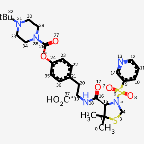 CC1(C)SCN(S(=O)(=O)c2cccnc2)[C@@H]1C(=O)N[C@@H](Cc1ccc(OC(=O)N2CCN(C(C)(C)C)CC2)cc1)C(=O)O